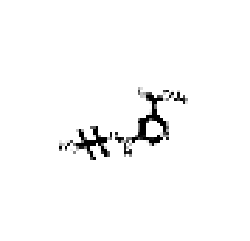 COC(=O)c1cncc(BOC(C)(C)C(C)(C)O)c1